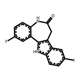 O=C1Cc2c([nH]c3ccc(I)cc23)-c2cc(F)ccc2N1